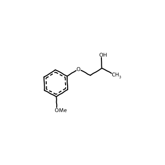 COc1cccc(OCC(C)O)c1